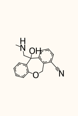 CNCC1(O)c2ccccc2OCc2c(C#N)cccc21